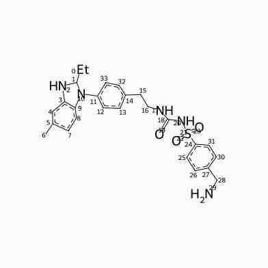 CCC1Nc2cc(C)ccc2N1c1ccc(CCNC(=O)NS(=O)(=O)c2ccc(CN)cc2)cc1